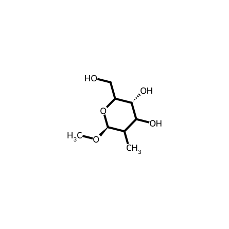 CO[C@H]1OC(CO)[C@H](O)C(O)C1C